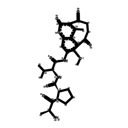 COc1c(NC(=O)[C@@H](NC(=O)[C@@H]2CCCN2C(=O)[C@H](C)N)C(C)C)cc2oc(=O)c3c(C)c2c1C(=O)CCC3=O